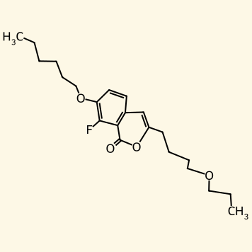 CCCCCCOc1ccc2cc(CCCCOCCC)oc(=O)c2c1F